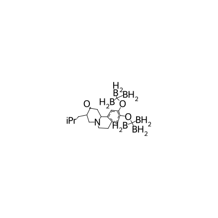 BC(B)(B)Oc1cc2c(cc1OC(B)(B)B)C1CC(=O)C(CC(C)C)CN1CC2